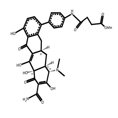 COC(=O)CCC(=O)Nc1ccc(-c2ccc(O)c3c2C[C@H]2C[C@H]4[C@H](N(C)C)C(O)=C(C(N)=O)C(=O)[C@@]4(O)C(O)=C2C3=O)cc1